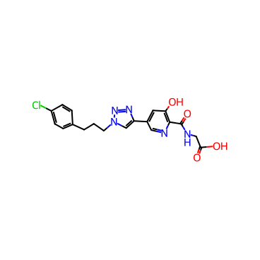 O=C(O)CNC(=O)c1ncc(-c2cn(CCCc3ccc(Cl)cc3)nn2)cc1O